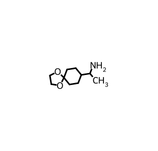 CC(N)C1CCC2(CC1)OCCO2